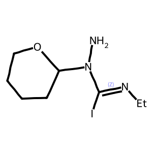 CC/N=C(\I)N(N)C1CCCCO1